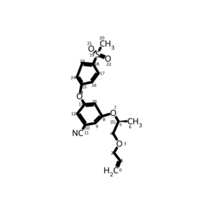 C=CCOC[C@H](C)Oc1cc(C#N)cc(Oc2ccc(S(C)(=O)=O)cc2)c1